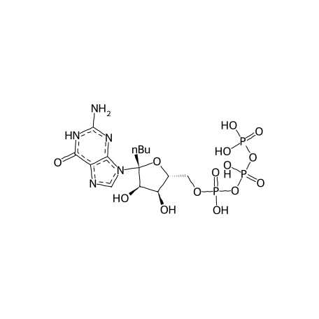 CCCC[C@@]1(n2cnc3c(=O)[nH]c(N)nc32)O[C@H](COP(=O)(O)OP(=O)(O)OP(=O)(O)O)[C@@H](O)[C@H]1O